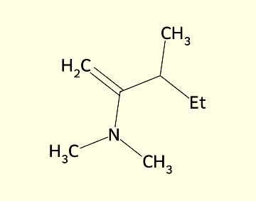 C=C(C(C)CC)N(C)C